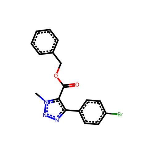 Cn1nnc(-c2ccc(Br)cc2)c1C(=O)OCc1ccccc1